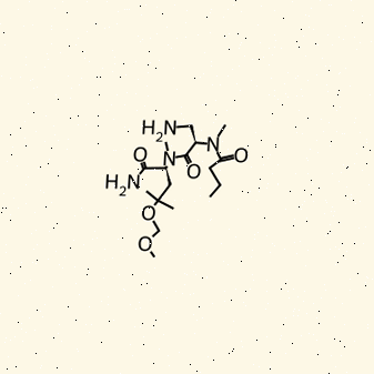 CCCC(=O)N(C)[C@H](CN)C(=O)N(C)[C@@H](CC(C)(C)OCOC)C(N)=O